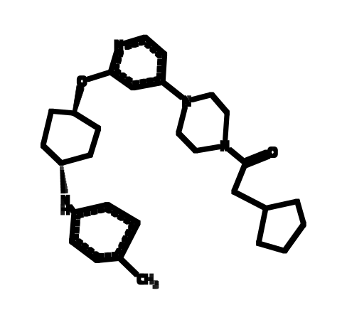 Cc1ccc(N[C@H]2CC[C@H](Oc3cc(N4CCN(C(=O)CC5CCCC5)CC4)ccn3)CC2)cc1